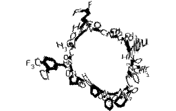 CC[C@H](C)[C@@H]1NC(=O)[C@H](CC(C)C)N(C)C(=O)C[C@@H](C(=O)N2CCCCC2)N(C)C(=O)[C@H](C2CCCCC2)N(C)C(=O)C2(CCCC2)NC(=O)[C@@H]2CCCN2C(=O)[C@H](CCc2ccc(C(F)(F)F)c(Cl)c2)NC(=O)CN(C)C(=O)[C@H](CCCCC(F)F)N(C)C(=O)CN(C)C(=O)CN(C)C1=O